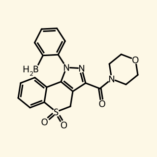 Bc1ccccc1-n1nc(C(=O)N2CCOCC2)c2c1-c1ccccc1S(=O)(=O)C2